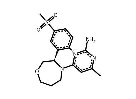 Cc1cc(N2CCCOC[C@H]2c2cc(S(C)(=O)=O)ccc2Cl)nc(N)n1